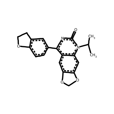 CC(C)n1c(=O)nc(-c2ccc3c(c2)CCO3)c2cc3c(cc21)OCO3